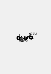 CCCCOc1ccccc1Cn1ccc(C(=O)Nc2c(F)cccc2OC)n1